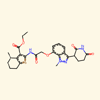 CCOC(=O)c1c(NC(=O)COc2cccc3c(C4CCC(=O)NC4=O)nn(C)c23)sc2c1C(C)CCC2